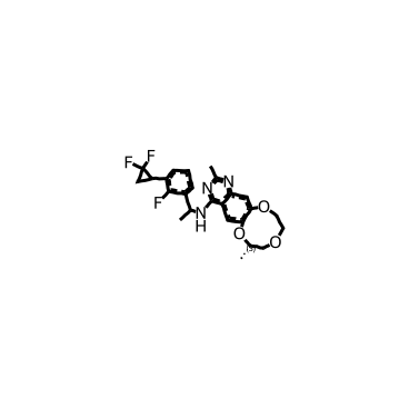 Cc1nc(NC(C)c2cccc(C3CC3(F)F)c2F)c2cc3c(cc2n1)OCCOC[C@H](C)O3